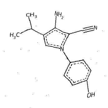 CC(C)c1cn(-c2ccc(O)cc2)c(C#N)c1N